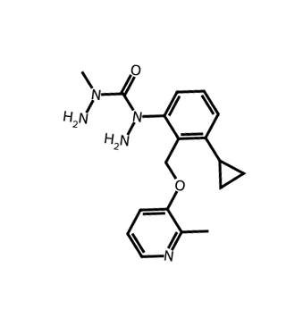 Cc1ncccc1OCc1c(C2CC2)cccc1N(N)C(=O)N(C)N